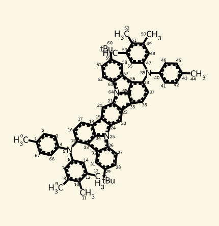 Cc1ccc(N(c2cc(C)c(C)c(C)c2)c2ccc3c4cc5c(cc4n4c6ccc(C(C)(C)C)cc6c2c34)c2ccc(N(c3ccc(C)cc3)c3cc(C)c(C)c(C)c3)c3c4cc(C(C)(C)C)ccc4n5c23)cc1